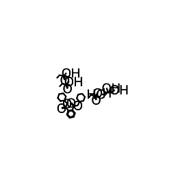 CCC(=O)O.CCC(=O)O.CCC(=O)O.O=C(OC1CCCCC1)c1ccccc1C(=O)OC1CCCCC1.OCC(O)CO